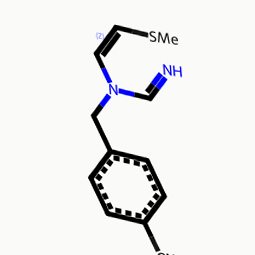 CS/C=C\N(C=N)Cc1ccc(C#N)cc1